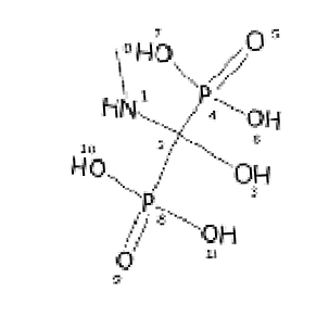 CNC(O)(P(=O)(O)O)P(=O)(O)O